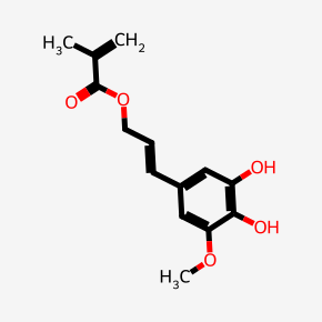 C=C(C)C(=O)OCC=Cc1cc(O)c(O)c(OC)c1